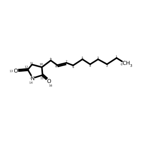 CCCCCCCC=CCC1CC(=O)[N]C1=O